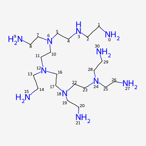 NCCNCCN(CCN)CCN(CCN)CCN(CCN)CCN(CCN)CCN